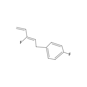 C=CC(F)=CCc1ccc(F)cc1